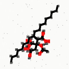 CCCCCCCCCC(CCCCCCCC)C(C(=O)O)C(CC(=O)O)(OC(C)=O)C(=O)O